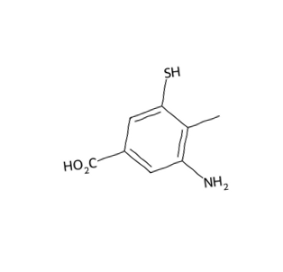 Cc1c(N)cc(C(=O)O)cc1S